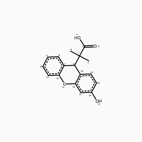 CC(C)(C(=O)O)C1c2ccccc2Oc2cc(O)ccc21